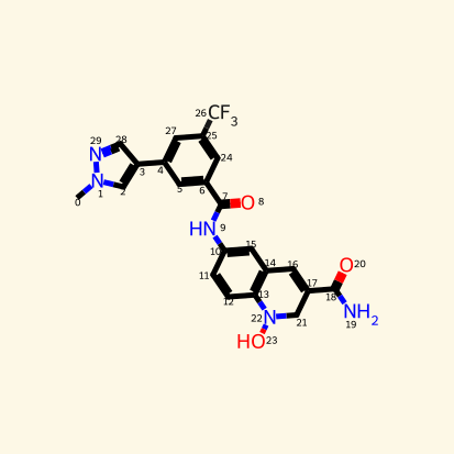 Cn1cc(-c2cc(C(=O)Nc3ccc4c(c3)C=C(C(N)=O)CN4O)cc(C(F)(F)F)c2)cn1